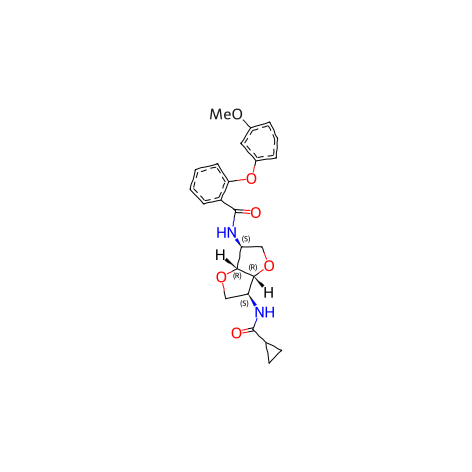 COc1cccc(Oc2ccccc2C(=O)N[C@H]2CO[C@H]3[C@@H]2OC[C@@H]3NC(=O)C2CC2)c1